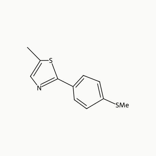 CSc1ccc(-c2ncc(C)s2)cc1